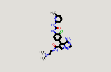 Cc1cccc(NC(=O)Nc2ccc(-c3c(C(=O)NCCN(C)C)cn4ncnc(N)c34)cc2Cl)n1